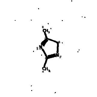 CC1=NC(C)=NC1